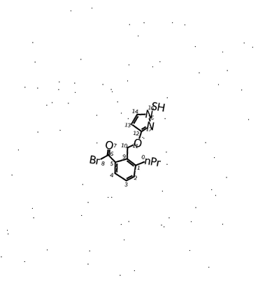 CCCc1cccc(C(=O)Br)c1COc1ccn(S)n1